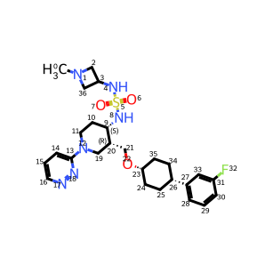 CN1CC(NS(=O)(=O)N[C@H]2CCN(c3cccnn3)C[C@H]2CO[C@H]2CC[C@@H](c3cccc(F)c3)CC2)C1